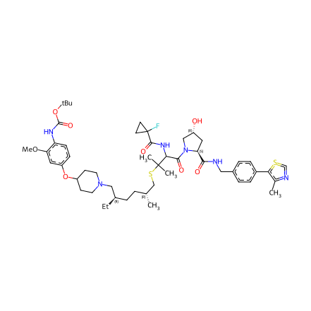 CC[C@H](CC[C@@H](C)CSC(C)(C)C(NC(=O)C1(F)CC1)C(=O)N1C[C@H](O)C[C@H]1C(=O)NCc1ccc(-c2scnc2C)cc1)CN1CCC(Oc2ccc(NC(=O)OC(C)(C)C)c(OC)c2)CC1